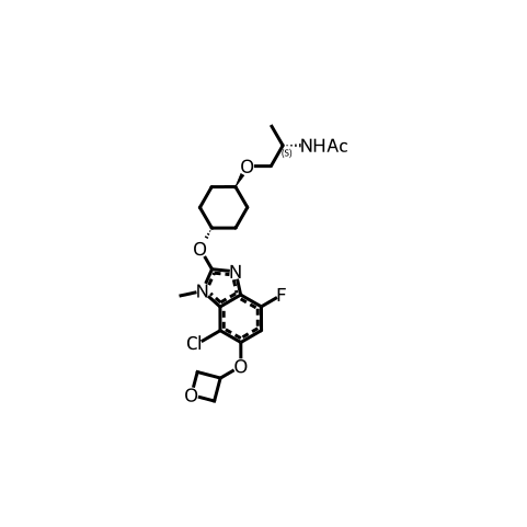 CC(=O)N[C@@H](C)CO[C@H]1CC[C@H](Oc2nc3c(F)cc(OC4COC4)c(Cl)c3n2C)CC1